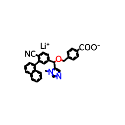 Cn1cncc1C(OCc1ccc(C(=O)[O-])cc1)c1ccc(C#N)c(-c2cccc3ccccc23)c1.[Li+]